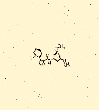 COc1cc(NC(=O)c2occc2-c2ccccc2Cl)cc(OC)c1